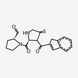 O=C[C@@H]1CCCN1C(=O)[C@H]1NCC(=S)C1C(=O)C1=Cc2ccccc2C1